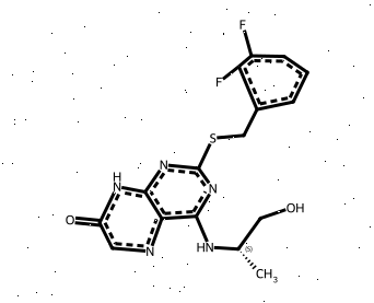 C[C@@H](CO)Nc1nc(SCc2cccc(F)c2F)nc2[nH]c(=O)cnc12